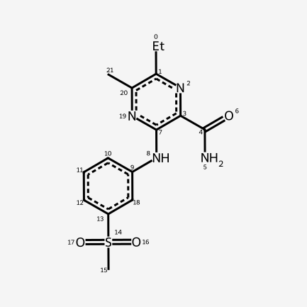 CCc1nc(C(N)=O)c(Nc2cccc(S(C)(=O)=O)c2)nc1C